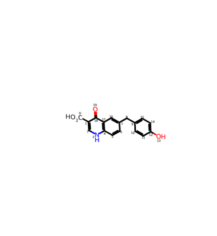 O=C(O)c1c[nH]c2ccc(Cc3ccc(O)cc3)cc2c1=O